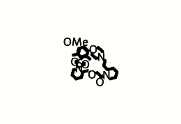 COc1cc(C)c(S(=O)(=O)N2CCCCC2COCC(=O)N2CCCCC2CCN2CCOCC2)c(C)c1